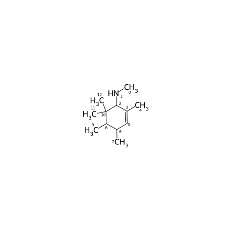 CNC1C(C)=CC(C)C(C)C1(C)C